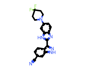 N#Cc1ccc2c(-c3nc4ccc(N5CCC(F)(F)CC5)cc4[nH]3)n[nH]c2c1